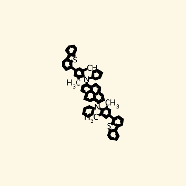 Cc1cc(-c2cccc3c2sc2ccccc23)cc(C)c1N(c1ccccc1)c1ccc2ccc3c(N(c4ccccc4)c4c(C)cc(-c5cccc6c5sc5ccccc56)cc4C)ccc4ccc1c2c43